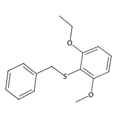 CCOc1cccc(OC)c1SCc1ccccc1